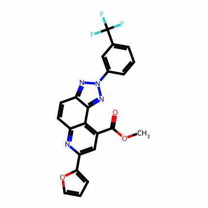 COC(=O)c1cc(-c2ccco2)nc2ccc3nn(-c4cccc(C(F)(F)F)c4)nc3c12